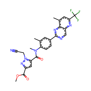 COC(=O)c1cc(C(=O)N(C)c2ccc(-c3ncc4nc(C(F)(F)F)cc(C)c4n3)cc2C)n(CC#N)n1